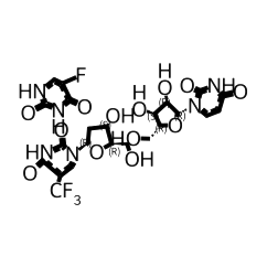 O=c1[nH]c(=O)n([C@H]2C[C@H](O)[C@@H](CO)O2)cc1C(F)(F)F.O=c1[nH]cc(F)c(=O)[nH]1.O=c1ccn([C@@H]2O[C@H](CO)[C@@H](O)[C@H]2O)c(=O)[nH]1